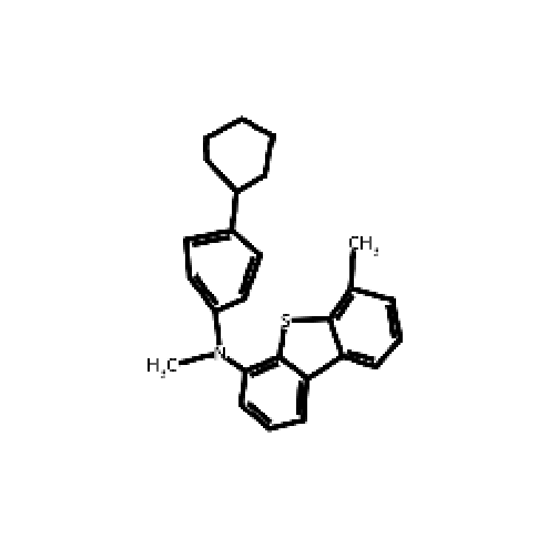 Cc1cccc2c1sc1c(N(C)c3ccc(C4CCCCC4)cc3)cccc12